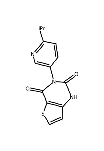 CC(C)c1ccc(-n2c(=O)[nH]c3ccsc3c2=O)cn1